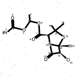 CC(OC(=O)C(C)C)OC(=O)[C@@H]1N2C(=O)[C@H](Cl)[C@H]2SC1(C)C